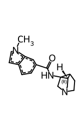 Cn1ccc2ccc(C(=O)N[C@H]3CN4CCC3CC4)cc21